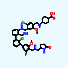 COc1cc(CNc2cccc(-c3cccc(-c4cc(F)c(CNCC5CCC(=O)N5)c(OC)c4)c3Cl)c2C=N)c(Cl)cc1CN(C)C1CCC(C(=O)O)CC1